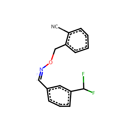 N#Cc1ccccc1CO/N=[C]\c1cccc(C(F)F)c1